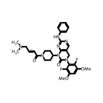 COc1cc(OC)c(F)c(N2Cc3cnc(Nc4ccccc4)nc3N(C3CCN(C(=O)/C=C/CN(C)C)CC3)C2=O)c1F